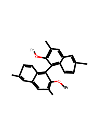 Cc1ccc2c(-c3c(OC(C)C)c(C)cc4cc(C)ccc34)c(OC(C)C)c(C)cc2c1